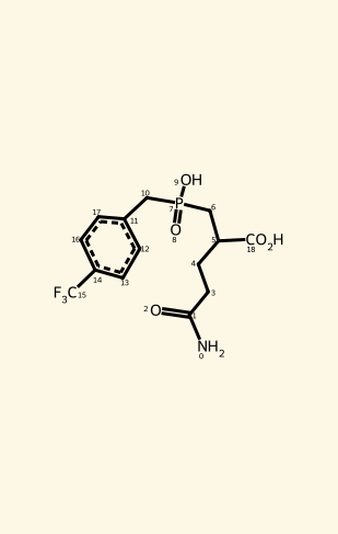 NC(=O)CCC(CP(=O)(O)Cc1ccc(C(F)(F)F)cc1)C(=O)O